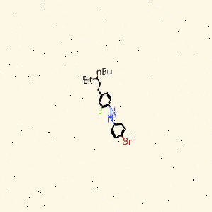 CCCCC(CC)CCc1ccc(/N=N/c2ccc(Br)cc2)c(F)c1